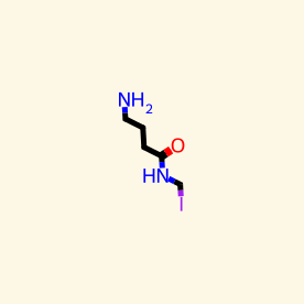 NCCCC(=O)NCI